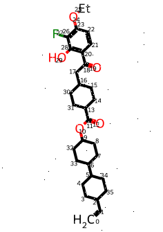 C=CC1CCC(C2CCC(OC(=O)C3CCC(CC(=O)c4ccc(OCC)c(F)c4O)CC3)CC2)CC1